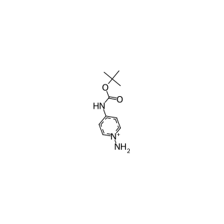 CC(C)(C)OC(=O)Nc1cc[n+](N)cc1